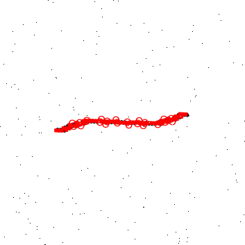 CCCCCC1CCC(C2CCC(C(=O)Oc3ccc(OC(=O)c4ccc(OCCCCCCCCOC(=O)CCC(=O)OCCCCCC(=O)OCCCCCCOC(=O)CCCCCOC(=O)CCC(=O)OCCCCCCCCOc5ccc(C(=O)Oc6ccc(OC(=O)C7CCC(C8CCC(CCCCC)CC8)CC7)cc6)cc5)cc4)cc3)CC2)CC1